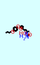 CCCCOc1ccc(Oc2ccc(/C=C/C(C)N(O)C(N)=O)o2)cc1